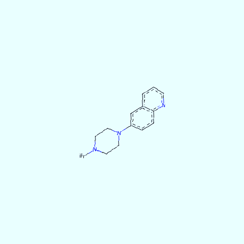 CC(C)N1CCN(c2ccc3ncccc3c2)CC1